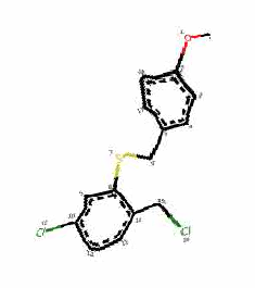 COc1ccc(CSc2cc(Cl)ccc2CCl)cc1